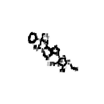 CC(C)(Nc1ncnc2c1ncn2[C@@H]1O[C@H](CC=S)[C@@H](O)[C@H]1O)c1ccccc1